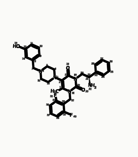 Cc1c(N2CCN(Cc3cccc(O)c3)CC2)c(=O)n(C[C@@H](N)c2ccccc2)c(=O)n1Cc1c(F)cccc1F